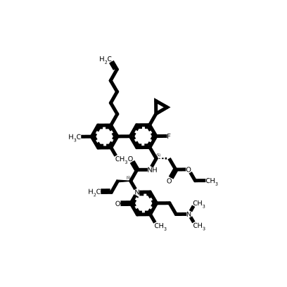 C=CCCCCc1cc(C)cc(C)c1-c1cc(C2CC2)c(F)c([C@H](CC(=O)OCC)NC(=O)[C@H](CC=C)n2cc(CCN(C)C)c(C)cc2=O)c1